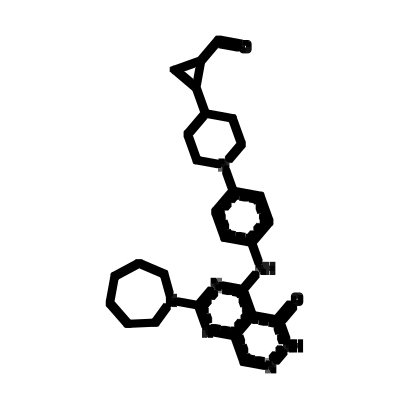 O=CC1CC1C1CCN(c2ccc(Nc3nc(N4CCCCCC4)nc4cn[nH]c(=O)c34)cc2)CC1